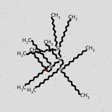 CCCCCCCCCCCC[Si](CCCCCCCCCCCC)(CCCCCCCCCCCC)CCC[Si](CCCCCCCC)(CCC[Si](CCCCCCCCCCCC)(CCCCCCCCCCCC)CCCCCCCCCCCC)CCC[Si](CCCCCCCCCCCC)(CCCCCCCCCCCC)CCCCCCCCCCCC